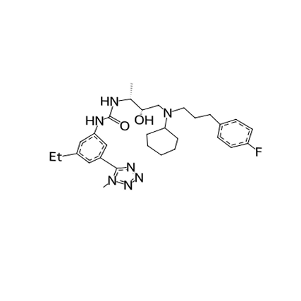 CCc1cc(NC(=O)N[C@H](C)[C@@H](O)CN(CCCc2ccc(F)cc2)C2CCCCC2)cc(-c2nnnn2C)c1